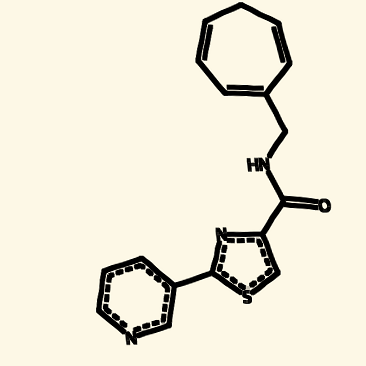 O=C(NCC1=CC=CCC=C1)c1csc(-c2cccnc2)n1